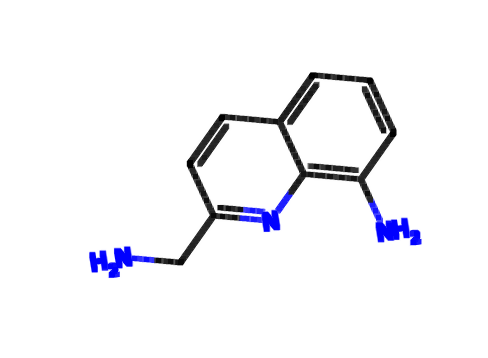 NCc1ccc2cccc(N)c2n1